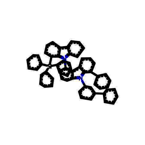 c1ccc(-c2cccc(-n3c4cccc(-n5c6ccccc6c6cccc([Si](c7ccccc7)(c7ccccc7)c7ccccc7)c65)c4c4cccc(-c5ccccc5)c43)c2)cc1